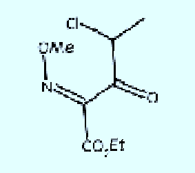 CCOC(=O)C(=NOC)C(=O)C(C)Cl